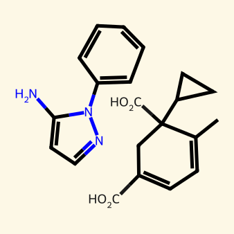 CC1=CC=C(C(=O)O)CC1(C(=O)O)C1CC1.Nc1ccnn1-c1ccccc1